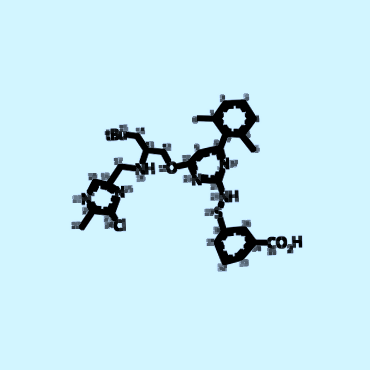 Cc1cccc(C)c1-c1cc(OCC(CC(C)(C)C)NCc2cnc(C)c(Cl)n2)nc(NSc2cccc(C(=O)O)c2)n1